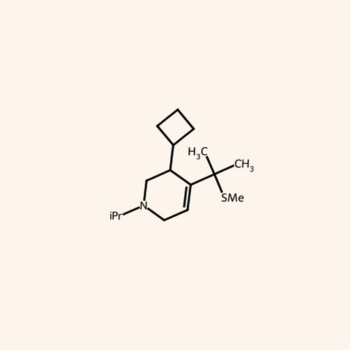 CSC(C)(C)C1=CCN(C(C)C)CC1C1CCC1